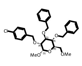 COC[C@H]1O[C@H](OC)[C@H](OCc2ccc(Cl)cc2)[C@@H](OCc2ccccc2)[C@@H]1OCc1ccccc1